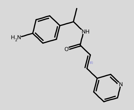 CC(NC(=O)/C=C/c1cccnc1)c1ccc(N)cc1